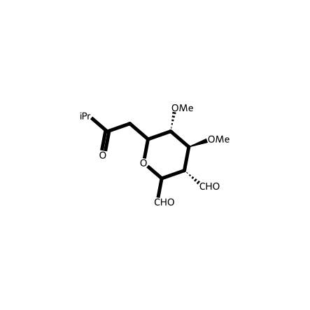 CO[C@H]1[C@H](C=O)C(C=O)OC(CC(=O)C(C)C)[C@@H]1OC